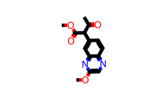 COC(=O)C(C(C)=O)c1ccc2ncc(OC)nc2c1